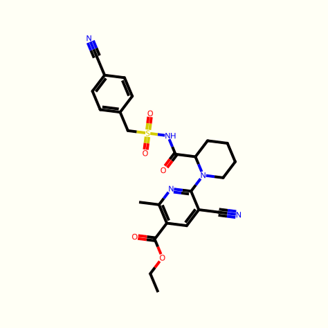 CCOC(=O)c1cc(C#N)c(N2CCCCC2C(=O)NS(=O)(=O)Cc2ccc(C#N)cc2)nc1C